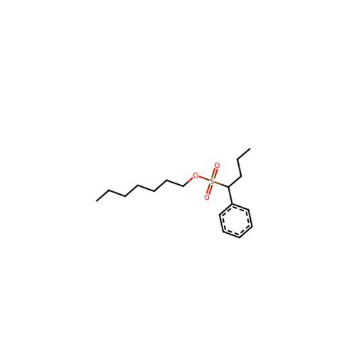 CCCCCCCOS(=O)(=O)C(CCC)c1ccccc1